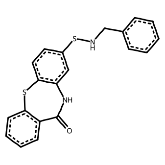 O=C1Nc2cc(SNCc3ccccc3)ccc2Sc2ccccc21